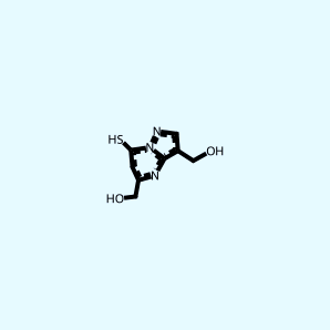 OCc1cc(S)n2ncc(CO)c2n1